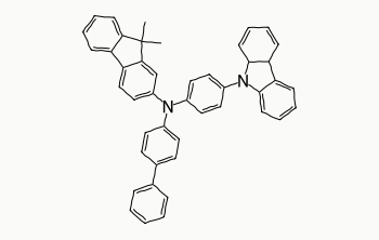 CC1(C)c2ccccc2-c2ccc(N(c3ccc(-c4ccccc4)cc3)c3ccc(N4c5ccccc5C5C=CC=CC54)cc3)cc21